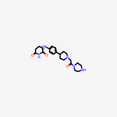 O=C1CC[C@H](Nc2ccc(C3CCN(CC(=O)N4CCNCC4)CC3)cc2)C(=O)N1